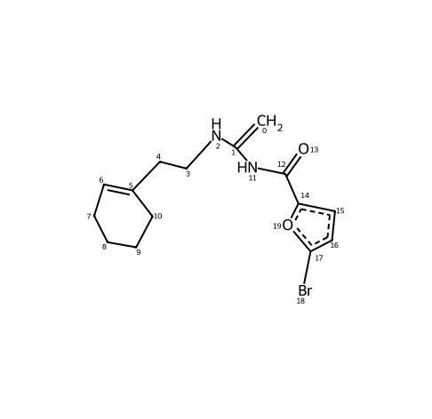 C=C(NCCC1=CCCCC1)NC(=O)c1ccc(Br)o1